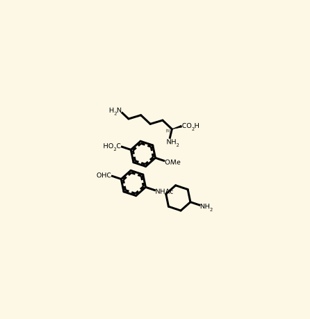 CC(=O)Nc1ccc(C=O)cc1.COc1ccc(C(=O)O)cc1.NC1CCCCC1.NCCCC[C@H](N)C(=O)O